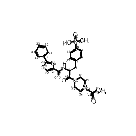 O=C(N[C@@H](Cc1ccc(P(=O)(O)O)cc1)C(=O)N1CCN(C(=O)O)CC1)c1csc(-c2ccccc2)n1